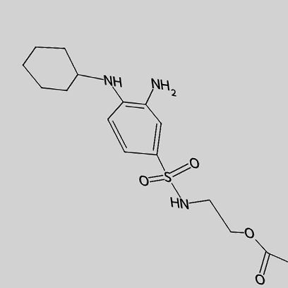 CNC(=O)OCCNS(=O)(=O)c1ccc(NC2CCCCC2)c(N)c1